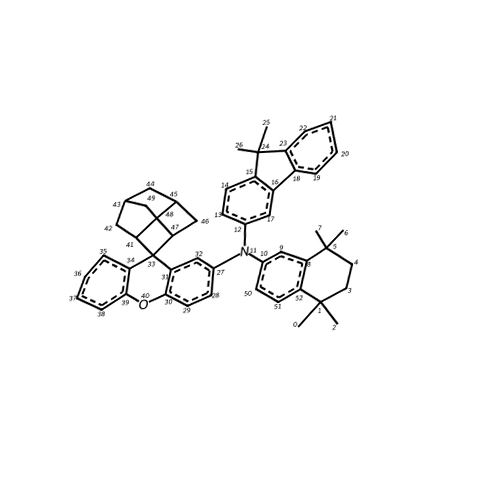 CC1(C)CCC(C)(C)c2cc(N(c3ccc4c(c3)-c3ccccc3C4(C)C)c3ccc4c(c3)C3(c5ccccc5O4)C4CC5CC6CC3C64C5)ccc21